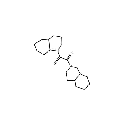 O=C(C(=O)N1CCCC2CCCCC21)N1CCC2CCCCC2C1